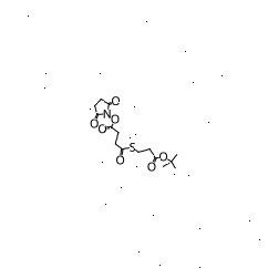 CC(C)(C)OC(=O)CCSC(=O)CCC(=O)ON1C(=O)CCC1=O